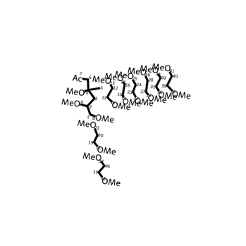 COCC(CC(C)(CC(C)=O)OC)OC.COCCOC.COCCOC.COCCOC.COCCOC.COCCOC.COCCOC.COCCOC.COCCOC